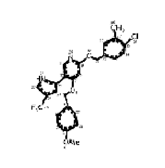 COc1ccc(COc2cc(OCc3ccc(Cl)c(C)c3)ncc2-c2cc(C(F)(F)F)c[nH]2)cc1